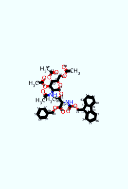 CC(=O)NC1C(OC(C)=O)[C@H](OC(C)=O)C(COC(C)=O)O[C@H]1O[C@H](C)[C@H](NC(=O)OCC1c2ccccc2-c2ccccc21)C(=O)OCc1ccccc1